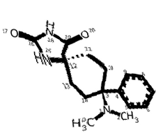 CN(C)[C@]1(c2ccccc2)CC[C@]2(CC1)NC(=O)NC2=O